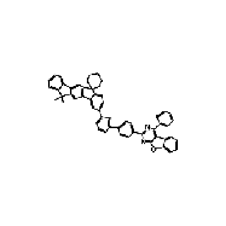 CC1(C)c2ccccc2-c2cc3c(cc21)-c1cc(-c2cccc(-c4ccc(-c5nc(-c6ccccc6)c6c(n5)oc5ccccc56)cc4)c2)ccc1C31CCCCC1